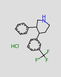 Cl.FC(F)(F)c1cccc(C2CCNCC2c2ccccc2)c1